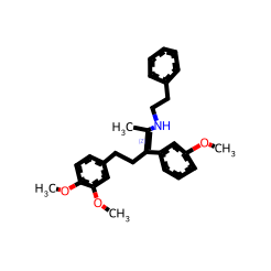 COc1cccc(/C(CCc2ccc(OC)c(OC)c2)=C(/C)NCCc2ccccc2)c1